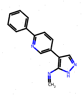 C=Nc1[nH]ncc1-c1ccc(-c2ccccc2)nc1